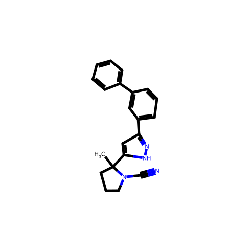 CC1(c2cc(-c3cccc(-c4ccccc4)c3)n[nH]2)CCCN1C#N